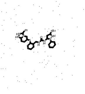 CC(C)C1NNC2CCC(SC3CCCCC3CNC(=O)NC3CC(C(C)(C)C)NN3C3CCCCC3)CN21